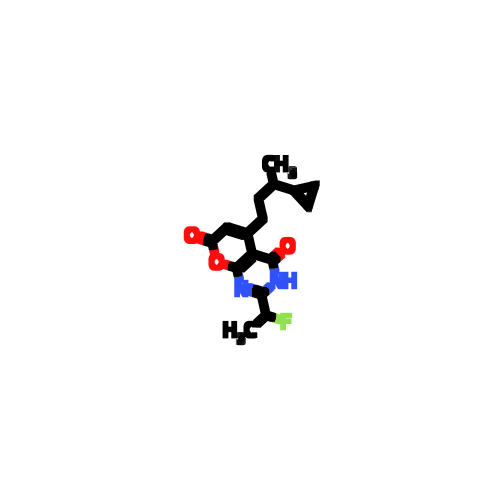 CC(F)c1nc2oc(=O)cc(CCC(C)C3CC3)c2c(=O)[nH]1